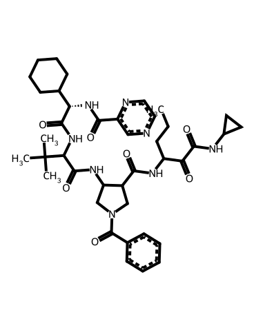 CCCC(NC(=O)C1CN(C(=O)c2ccccc2)CC1NC(=O)C(NC(=O)[C@@H](NC(=O)c1cnccn1)C1CCCCC1)C(C)(C)C)C(=O)C(=O)NC1CC1